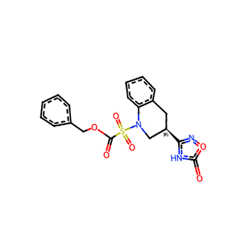 O=C(OCc1ccccc1)S(=O)(=O)N1C[C@H](c2noc(=O)[nH]2)Cc2ccccc21